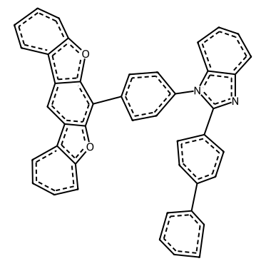 c1ccc(-c2ccc(-c3nc4ccccc4n3-c3ccc(-c4c5oc6ccccc6c5cc5c4oc4ccccc45)cc3)cc2)cc1